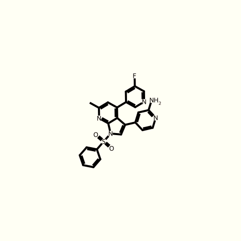 Cc1cc(-c2cncc(F)c2)c2c(-c3ccnc(N)c3)cn(S(=O)(=O)c3ccccc3)c2n1